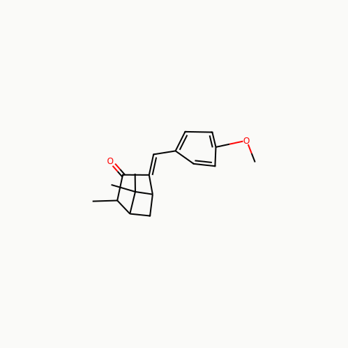 COc1ccc(C=C2C(=O)C(C)C3CC2C3(C)C)cc1